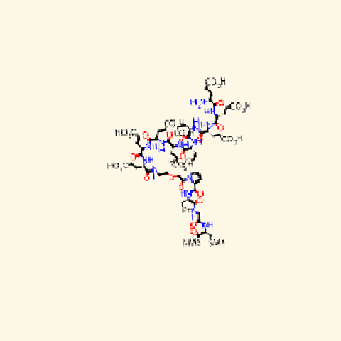 CNC(=O)[C@H](CSC)NC(=O)CNC(=O)[C@@H](CC(C)C)NC(=O)[C@@H]1CCCN1C(=O)COCCNC(=O)[C@@H](CCC(=O)O)NC(=O)[C@@H](CCC(=O)O)NC(=O)[C@@H](CCC(=O)O)NC(=O)[C@@H](CCC(=O)O)NC(=O)[C@@H](CCC(=O)O)NC(=O)[C@@H](CCC(=O)O)NC(=O)[C@@H](CCC(=O)O)NC(=O)[C@@H](CCC(=O)O)NC(=O)[C@H](N)CCC(=O)O